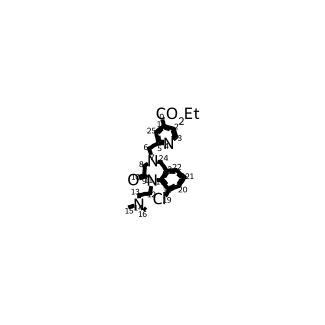 CCOC(=O)c1ccnc(CN2CC(=O)N(CCN(C)C)c3c(Cl)cccc3C2)c1